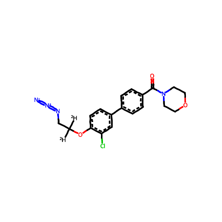 [2H]C([2H])(CN=[N+]=[N-])Oc1ccc(-c2ccc(C(=O)N3CCOCC3)cc2)cc1Cl